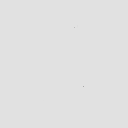 O=C(O)C1(c2ccc(C3=C4CC=C(C(F)(F)F)C=C4ONC3)cc2)CNC1